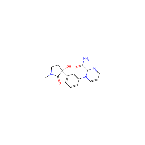 CN1CCC(O)(c2cccc(N3C=CC=NC3C(N)=O)c2)C1=O